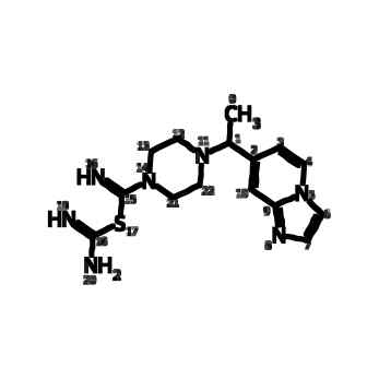 CC(c1ccn2ccnc2c1)N1CCN(C(=N)SC(=N)N)CC1